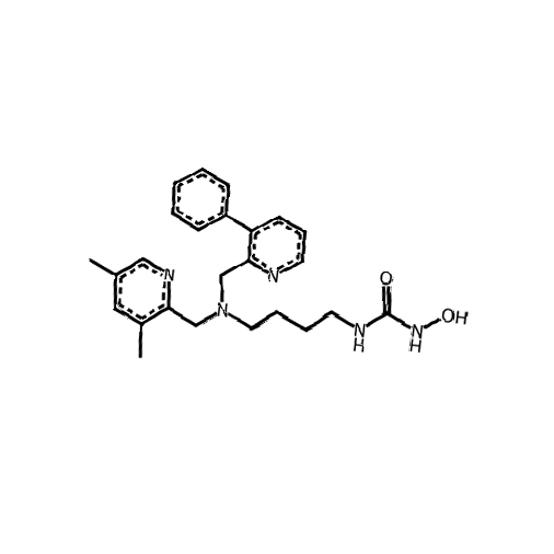 Cc1cnc(CN(CCCCNC(=O)NO)Cc2ncccc2-c2ccccc2)c(C)c1